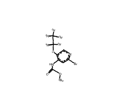 [2H]C([2H])([2H])C([2H])([2H])Oc1cnc(Br)cc1NC(=O)OC(C)(C)C